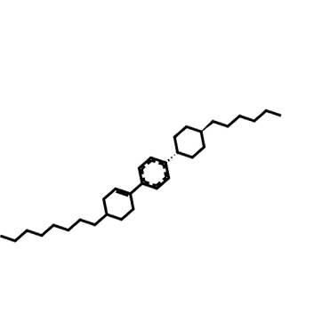 CCCCCCCCC1CC=C(c2ccc([C@H]3CC[C@H](CCCCCC)CC3)cc2)CC1